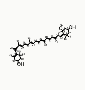 CO[C@]1(C)C[C@@H](O)CC(C)(C)/C1=C/C/C(C)=C/C=C/C(C)=C/C=C/C=C(C)/C=C/C=C(\C)C1=C(C2=C(C)C[C@@H](O)CC2(C)C)C1